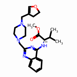 COC(=O)[C@@H](Nc1nc(CN2CCN(CC3=COCC3)CC2)nc2ccccc12)C(C)C